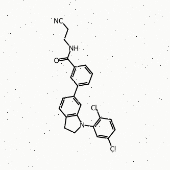 N#CCCNC(=O)c1cccc(-c2ccc3c(c2)N(c2cc(Cl)ccc2Cl)CC3)c1